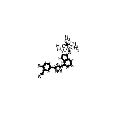 CC(C)(C)[Si](C)(C)O[C@@H]1CCc2c(-c3nnc(-c4ccc(F)c(C#N)c4)s3)cccc21